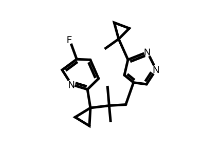 CC1(c2cc(CC(C)(C)C3(c4ccc(F)cn4)CC3)cnn2)CC1